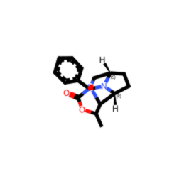 CC1OC(=O)N2C[C@@H]3CC[C@H](C12)N3Cc1ccccc1